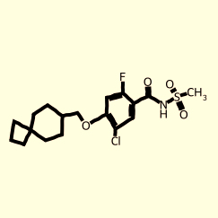 CS(=O)(=O)NC(=O)c1cc(Cl)c(OCC2CCC3(CCC3)CC2)cc1F